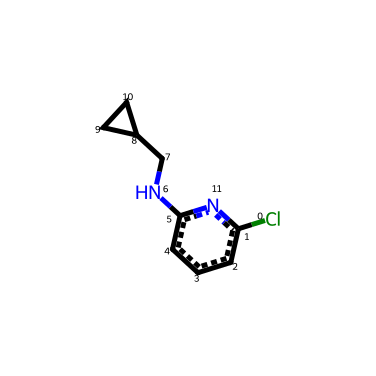 Clc1cccc(NCC2CC2)n1